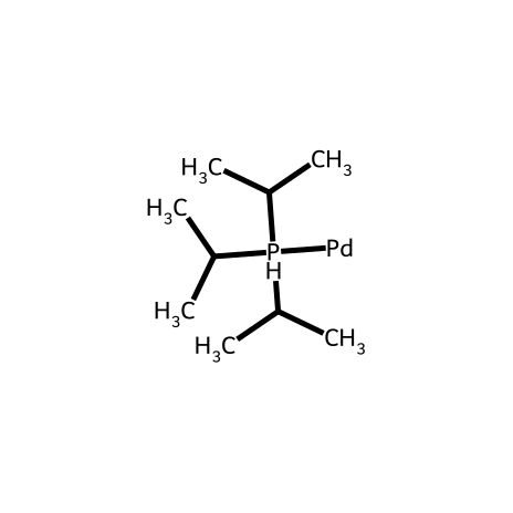 CC(C)[PH]([Pd])(C(C)C)C(C)C